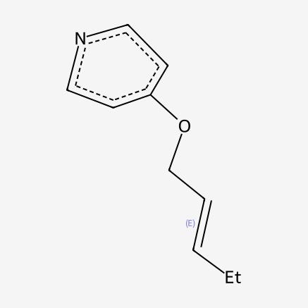 CC/C=C/COc1ccncc1